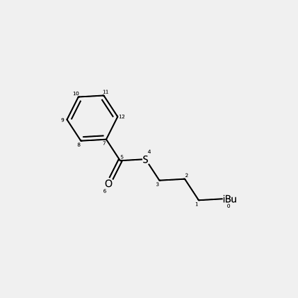 CCC(C)CCCSC(=O)c1ccccc1